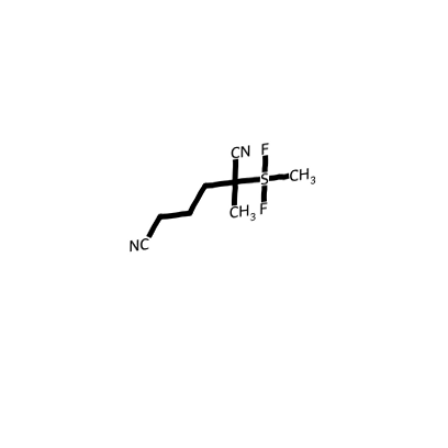 CC(C#N)(CCCC#N)S(C)(F)F